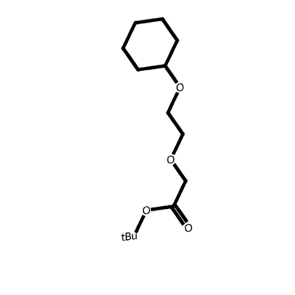 CC(C)(C)OC(=O)COCCOC1CCCCC1